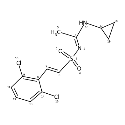 C/C(=N\S(=O)(=O)/C=C/c1c(Cl)cccc1Cl)NC1CC1